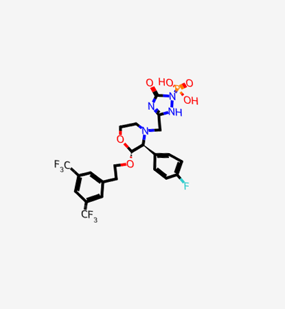 O=c1nc(CN2CCO[C@@H](OCCc3cc(C(F)(F)F)cc(C(F)(F)F)c3)[C@@H]2c2ccc(F)cc2)[nH]n1P(=O)(O)O